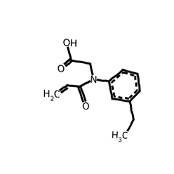 C=CC(=O)N(CC(=O)O)c1cccc(CC)c1